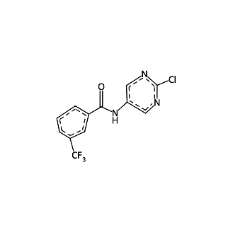 O=C(Nc1cnc(Cl)nc1)c1cccc(C(F)(F)F)c1